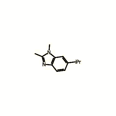 Cc1nc2ccc(C(C)C)cc2n1C